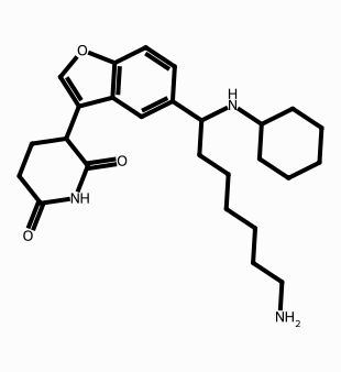 NCCCCCCC(NC1CCCCC1)c1ccc2occ(C3CCC(=O)NC3=O)c2c1